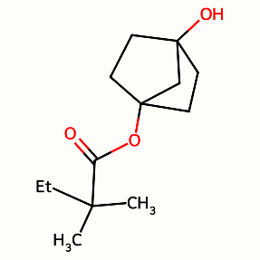 CCC(C)(C)C(=O)OC12CCC(O)(CC1)C2